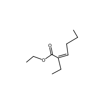 CCC/C=C(/CC)C(=O)OCC